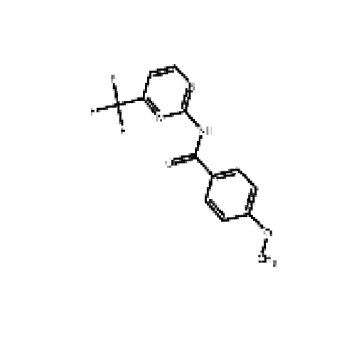 COc1ccc(C(=O)Nc2nccc(C(F)(F)F)n2)cc1